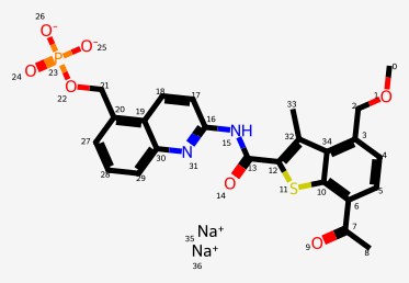 COCc1ccc(C(C)=O)c2sc(C(=O)Nc3ccc4c(COP(=O)([O-])[O-])cccc4n3)c(C)c12.[Na+].[Na+]